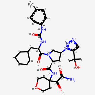 CC(C)(O)c1cnnn1[C@H]1C[C@@H](C(=O)NC2(C(=O)C(N)=O)CCOCC2)N(C(=O)[C@@H](CC2CCCCC2)NC(=O)Nc2ccc(C(F)(F)F)cc2)C1